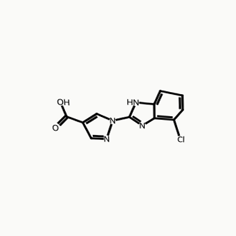 O=C(O)c1cnn(-c2nc3c(Cl)cccc3[nH]2)c1